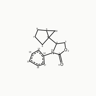 O=C1OCC(C23CCCC2C3)N1c1ccccc1